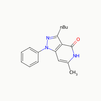 CCCCc1nn(-c2ccccc2)c2cc(C)[nH]c(=O)c12